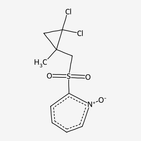 CC1(CS(=O)(=O)c2cccc[n+]2[O-])CC1(Cl)Cl